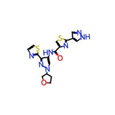 O=C(Nc1cn(C2CCOC2)nc1-c1nccs1)c1csc(-c2cn[nH]c2)n1